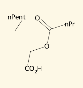 CCCC(=O)OCC(=O)O.CCCCCC